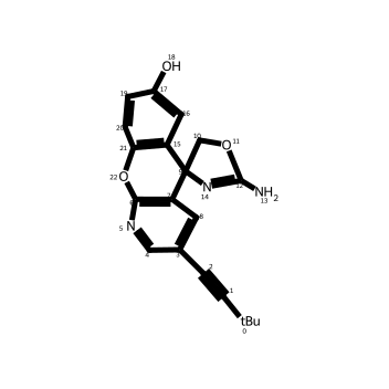 CC(C)(C)C#Cc1cnc2c(c1)C1(COC(N)=N1)c1cc(O)ccc1O2